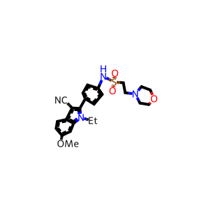 CCn1c(-c2ccc(NS(=O)(=O)CCN3CCOCC3)cc2)c(C#N)c2ccc(OC)cc21